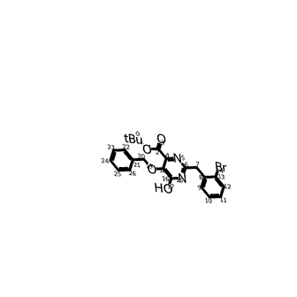 CC(C)(C)OC(=O)c1nc(Cc2ccccc2Br)nc(O)c1OCc1ccccc1